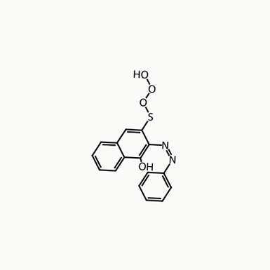 OOOSc1cc2ccccc2c(O)c1/N=N\c1ccccc1